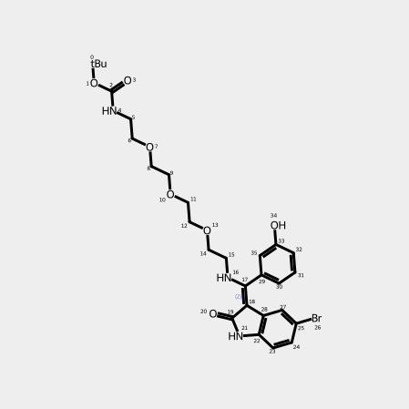 CC(C)(C)OC(=O)NCCOCCOCCOCCN/C(=C1\C(=O)Nc2ccc(Br)cc21)c1cccc(O)c1